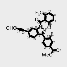 COC(=O)c1ccc(-c2nn(C(=O)c3c(Cl)cccc3C(F)(F)F)c3cc(C#CC=O)ccc23)c(F)c1